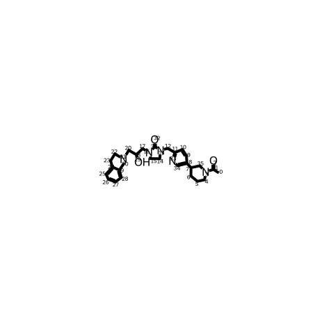 CC(=O)N1CCCC(c2ccc(CN3CCN(CC(O)CN4CCc5ccccc5C4)C3=O)nc2)C1